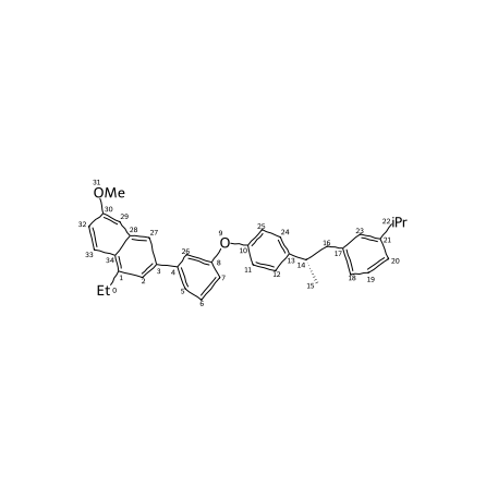 CCc1cc(-c2cccc(Oc3ccc([C@@H](C)Cc4cccc(C(C)C)c4)cc3)c2)cc2cc(OC)ccc12